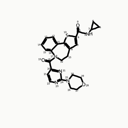 O=C(NC1CC1)c1cc2c(s1)-c1ccccc1N(C(=O)c1ccnc(N3CCOCC3)n1)CC2